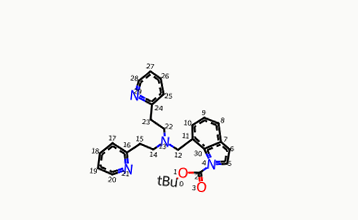 CC(C)(C)OC(=O)n1ccc2cccc(CN(CCc3ccccn3)CCc3ccccn3)c21